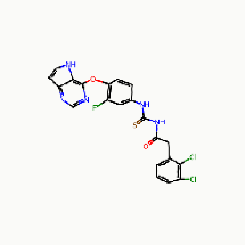 O=C(Cc1cccc(Cl)c1Cl)NC(=S)Nc1ccc(Oc2ncnc3cc[nH]c23)c(F)c1